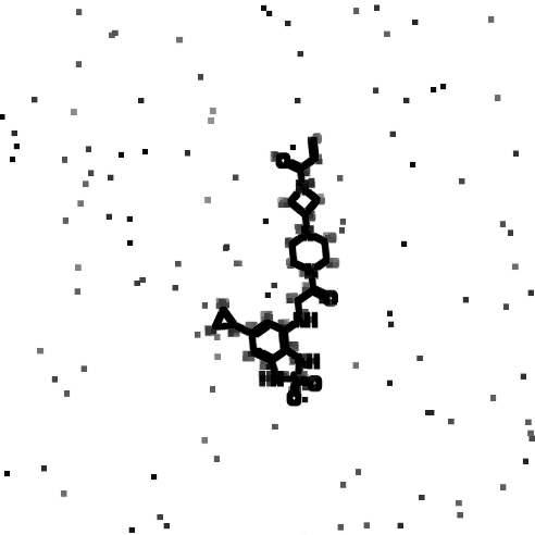 C=CC(=O)N1CC(N2CCN(C(=O)CNc3cc(C4CC4)cc4c3NS(=O)(=O)N4)CC2)C1